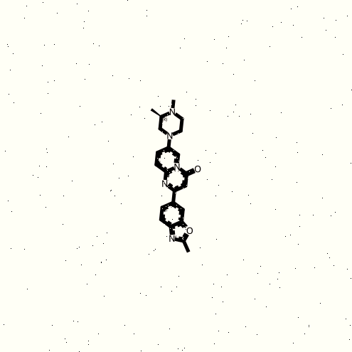 Cc1nc2ccc(-c3cc(=O)n4cc(N5CCN(C)[C@H](C)C5)ccc4n3)cc2o1